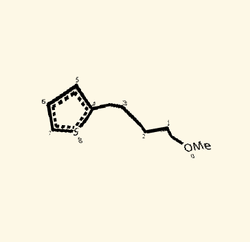 COCCCc1cccs1